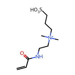 C=CC(=O)NCC[N+](C)(C)CCCS(=O)(=O)O